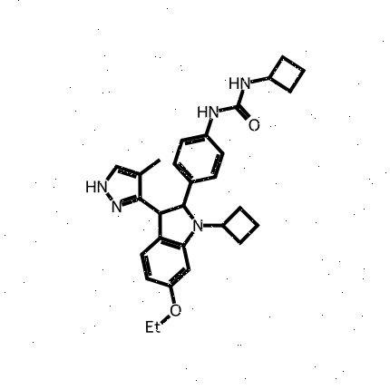 CCOc1ccc2c(c1)N(C1CCC1)C(c1ccc(NC(=O)NC3CCC3)cc1)C2c1n[nH]cc1C